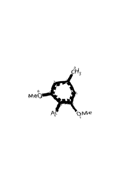 COc1cc(C)cc(OC)c1C(C)=O